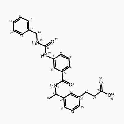 CC(NC(=O)c1cccc(NC(=O)NCc2ccccc2)c1)c1cccc(CCC(=O)O)c1